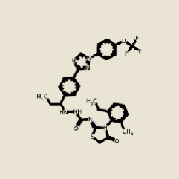 CCc1cccc(C)c1N1C(=O)CS/C1=N\C(=O)NNC(CC)c1ccc(-c2ncn(-c3ccc(OC(F)(F)F)cc3)n2)cc1